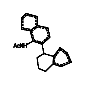 CC(=O)Nc1c(C2CCCc3ccccc32)ccc2ccccc12